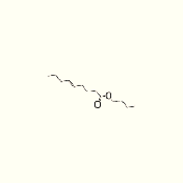 CCC/C=C/CCCC(=O)OCCCC